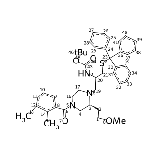 COCC[C@H]1CN(C(=O)c2cccc(C)c2C)CCN1C[C@H](CSC(c1ccccc1)(c1ccccc1)c1ccccc1)NC(=O)OC(C)(C)C